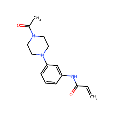 C=CC(=O)Nc1cccc(N2CCN(C(C)=O)CC2)c1